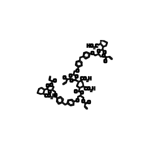 C=CC(=O)COC(COc1ccc(Cc2ccc(OCC(COC(=O)C=C)OC(=O)C3CCCCC3C(=O)O)cc2)cc1)OC(=O)C1CC(C(=O)OC(COC(=O)C=C)COc2ccc(Cc3ccc(OCC(COC(=O)C=C)OC(=O)C4CCCCC4C(=O)O)cc3)cc2)C(C(=O)O)CC1C(=O)O